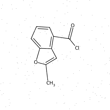 Cc1cc2c(C(=O)Cl)cccc2o1